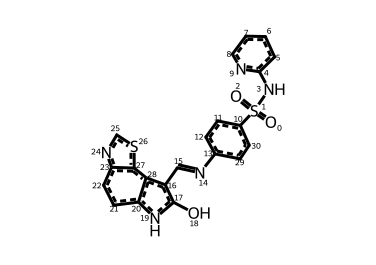 O=S(=O)(Nc1ccccn1)c1ccc(N=Cc2c(O)[nH]c3ccc4ncsc4c23)cc1